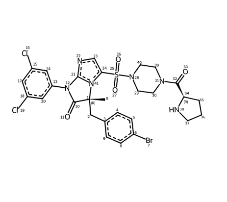 C[C@@]1(Cc2ccc(Br)cc2)C(=O)N(c2cc(Cl)cc(Cl)c2)c2ncc(S(=O)(=O)N3CCN(C(=O)[C@H]4CCCN4)CC3)n21